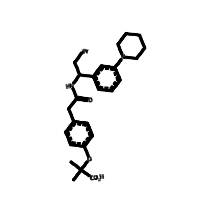 CC(C)CC(NC(=O)Cc1ccc(OC(C)(C)C(=O)O)cc1)c1cccc(N2CCCCC2)c1